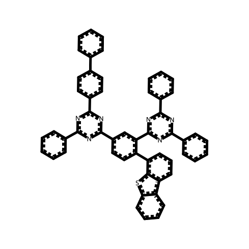 c1ccc(-c2ccc(-c3nc(-c4ccccc4)nc(-c4ccc(-c5cccc6c5sc5ccccc56)c(-c5nc(-c6ccccc6)nc(-c6ccccc6)n5)c4)n3)cc2)cc1